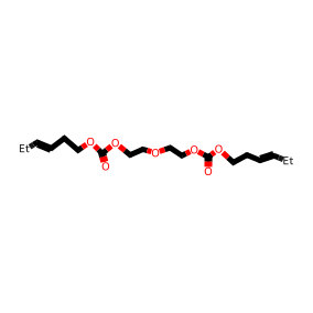 CC/C=C/CCOC(=O)OCCOCCOC(=O)OCC/C=C/CC